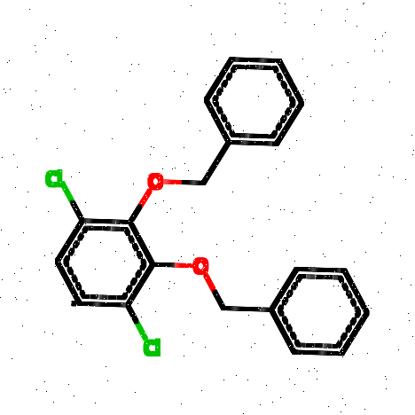 Clc1[c]cc(Cl)c(OCc2ccccc2)c1OCc1ccccc1